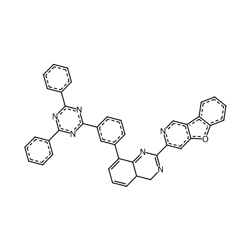 C1=CC2CN=C(c3cc4oc5ccccc5c4cn3)N=C2C(c2cccc(-c3nc(-c4ccccc4)nc(-c4ccccc4)n3)c2)=C1